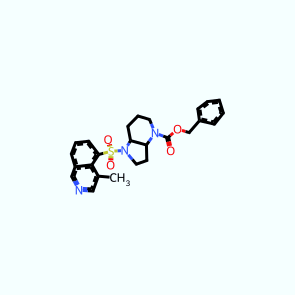 Cc1cncc2cccc(S(=O)(=O)N3CCC4C3CCCN4C(=O)OCc3ccccc3)c12